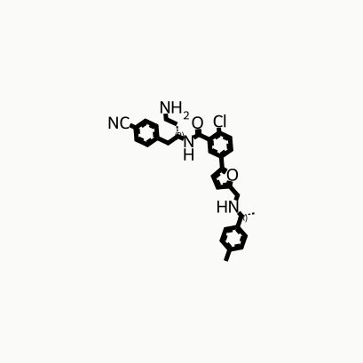 Cc1ccc([C@@H](C)NCc2ccc(-c3ccc(Cl)c(C(=O)N[C@@H](CCN)Cc4ccc(C#N)cc4)c3)o2)cc1